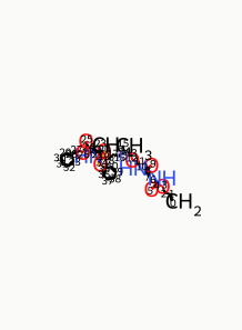 C=CCOC(=O)NCC(=O)NCOC/C(C)=C/CCP(=O)(N[C@@H](C)C(=O)OCc1ccccc1)Oc1ccccc1